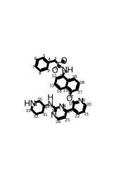 O=S(=O)(Cc1ccccc1)Nc1cccc2c(Oc3ncccc3-c3ccnc(N[C@H]4CCCNC4)n3)cccc12